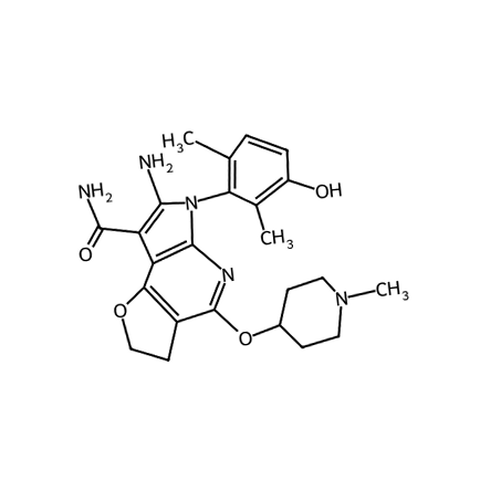 Cc1ccc(O)c(C)c1-n1c(N)c(C(N)=O)c2c3c(c(OC4CCN(C)CC4)nc21)CCO3